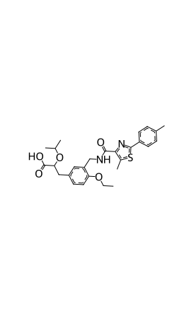 CCOc1ccc(CC(OC(C)C)C(=O)O)cc1CNC(=O)c1nc(-c2ccc(C)cc2)sc1C